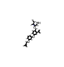 C=C(C)c1cc(Oc2cccc(OCC3CC3)c2)ccc1CO/C(C=N)=C(\C)CC